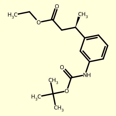 CCOC(=O)C[C@@H](C)c1cccc(NC(=O)OC(C)(C)C)c1